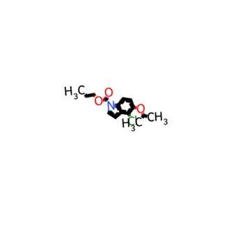 CCCOC(=O)n1ccc2c(Cl)c(OC(C)C)ccc21